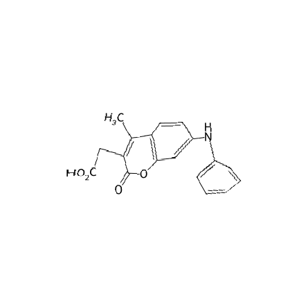 Cc1c(CC(=O)O)c(=O)oc2cc(Nc3ccccc3)ccc12